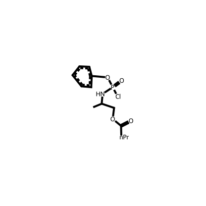 CCCC(=O)OCC(C)NP(=O)(Cl)Oc1ccccc1